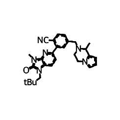 CC1c2cccn2CCN1Cc1ccc(C#N)c(-c2ccc3c(n2)n(C)c(=O)n3CC(C)(C)C)c1